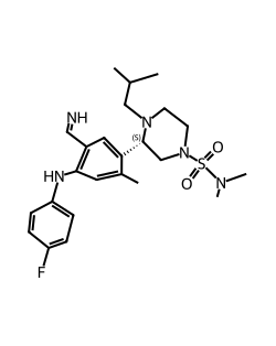 Cc1cc(Nc2ccc(F)cc2)c(C=N)cc1[C@H]1CN(S(=O)(=O)N(C)C)CCN1CC(C)C